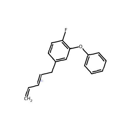 C=C/C=C/Cc1ccc(F)c(Oc2ccccc2)c1